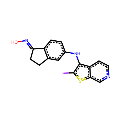 ON=C1CCc2cc(Nc3c(I)sc4cnccc34)ccc21